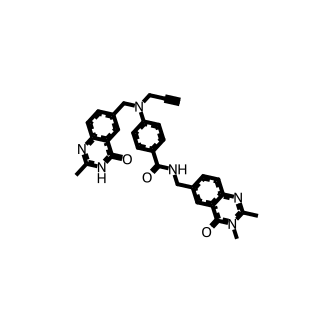 C#CCN(Cc1ccc2nc(C)[nH]c(=O)c2c1)c1ccc(C(=O)NCc2ccc3nc(C)n(C)c(=O)c3c2)cc1